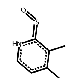 Cc1cc[nH]c(=S=O)c1C